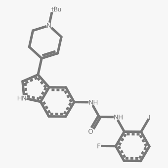 CC(C)(C)N1CC=C(c2c[nH]c3ccc(NC(=O)Nc4c(F)cccc4I)cc23)CC1